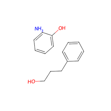 N.OCCCc1ccccc1.Oc1ccccc1